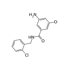 Nc1cc([O])cc(C(=O)NCc2ccccc2Cl)c1